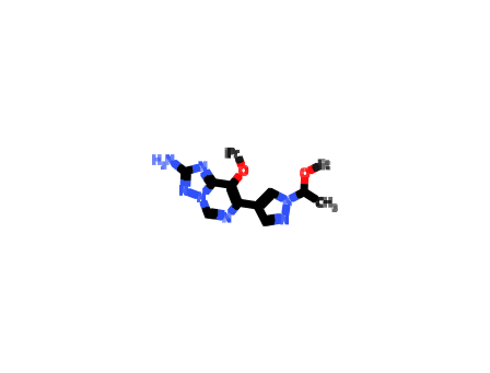 CCOC(C)n1cc(-c2ncn3nc(N)nc3c2OC(C)C)cn1